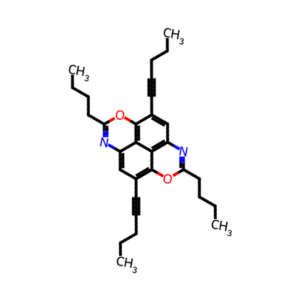 CCCC#Cc1cc2c3c(c(C#CCCC)cc4c3c1OC(CCCC)=N4)OC(CCCC)=N2